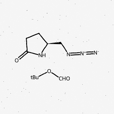 CC(C)(C)OC=O.[N-]=[N+]=NC[C@@H]1CCC(=O)N1